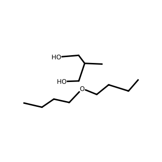 CC(CO)CO.CCCCOCCCC